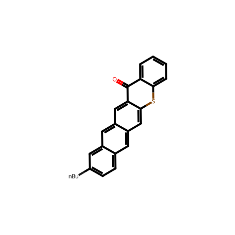 CCCCc1ccc2cc3cc4sc5ccccc5c(=O)c4cc3cc2c1